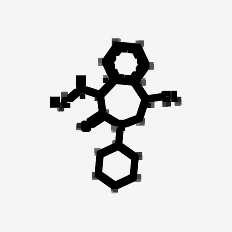 CNC1C(=O)N(C2CCCCC2)CC(C)c2ccccc21